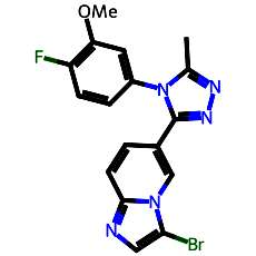 COc1cc(-n2c(C)nnc2-c2ccc3ncc(Br)n3c2)ccc1F